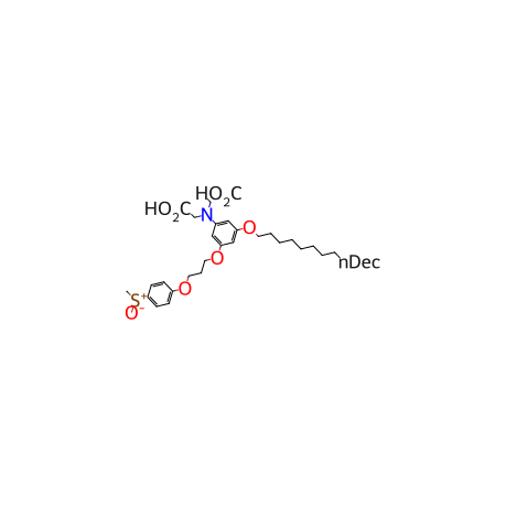 CCCCCCCCCCCCCCCCCCOc1cc(OCCCOc2ccc([S+](C)[O-])cc2)cc(N(CC(=O)O)CC(=O)O)c1